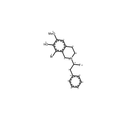 COc1cc2c(c(Br)c1O)CN(C(F)Cc1ccccc1)CC2